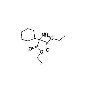 CCOC(=O)C(N)(C(=O)OCC)C1CCCCC1